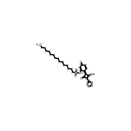 CCCCCCCCCCCCCCCCS(=O)(=O)NC1=CC(=O)C=C/C1=C1/C(=O)C(c2nnns2)=C1O